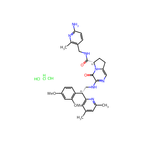 COc1ccc([C@H](CNc2ncc3n(c2=O)[C@H](C(=O)NCc2ccc(N)nc2C)CC3)c2cc(C)cc(C)n2)c(OC)c1.Cl.Cl.Cl